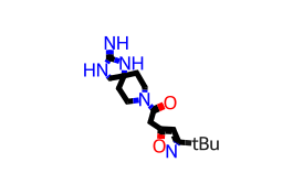 CC(C)(C)c1cc(CC(=O)N2CCC3(CC2)CNC(=N)N3)on1